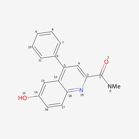 CNC(=O)c1cc(-c2ccccc2)c2cc(O)ccc2n1